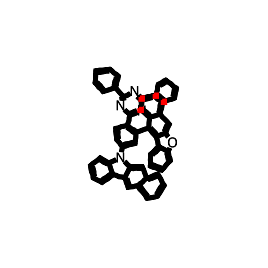 c1ccc(-c2nc(-c3ccccc3)nc(-c3ccc(-n4c5ccccc5c5cc6ccccc6cc54)cc3-c3c4ccccc4cc4oc5ccccc5c34)n2)cc1